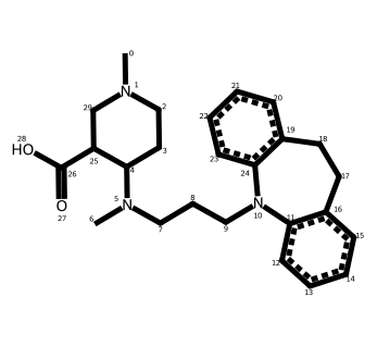 CN1CCC(N(C)CCCN2c3ccccc3CCc3ccccc32)C(C(=O)O)C1